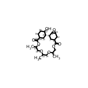 CC(COC(=O)C1CCC2OC2C1)OCC(C)OCC(C)OC(=O)C1CCC(O)CC1